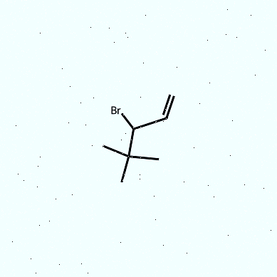 C=CC(Br)C(C)(C)C